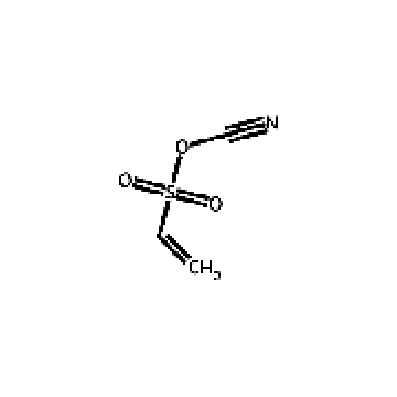 C=CS(=O)(=O)OC#N